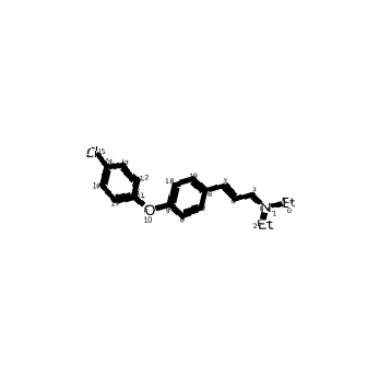 CCN(CC)CC=Cc1ccc(Oc2ccc(Cl)cc2)cc1